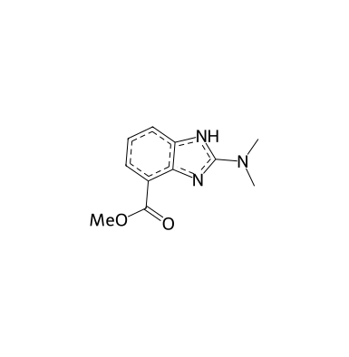 COC(=O)c1cccc2[nH]c(N(C)C)nc12